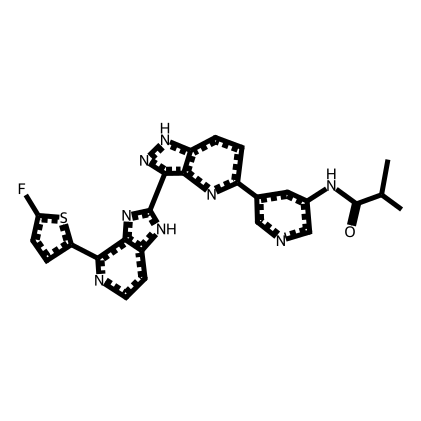 CC(C)C(=O)Nc1cncc(-c2ccc3[nH]nc(-c4nc5c(-c6ccc(F)s6)nccc5[nH]4)c3n2)c1